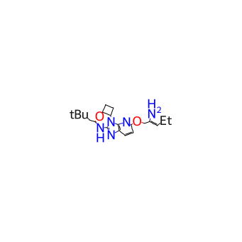 CC/C=C(\N)COc1ccc2nc(NC(=O)CC(C)(C)C)n(C3CCC3)c2n1